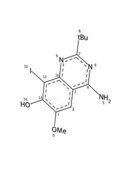 COc1cc2c(N)nc(C(C)(C)C)nc2c(I)c1O